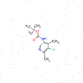 Cc1ncc(NC(=O)OC(C)(C)C)c(C)c1F